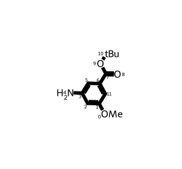 COc1cc(N)cc(C(=O)OC(C)(C)C)c1